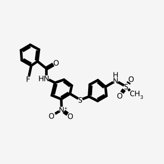 CS(=O)(=O)Nc1ccc(Sc2ccc(NC(=O)c3ccccc3F)cc2[N+](=O)[O-])cc1